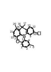 Cc1ccc2c(c1)B1c3cc(Cl)ccc3C(C)(C)c3c(C)ccc(c31)O2